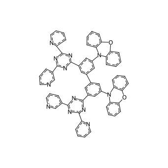 c1ccc(-c2nc(-c3cccnc3)nc(-c3cc(-c4cc(-c5nc(-c6cccnc6)nc(-c6ccccn6)n5)cc(N5c6ccccc6Oc6ccccc65)c4)cc(N4c5ccccc5Oc5ccccc54)c3)n2)nc1